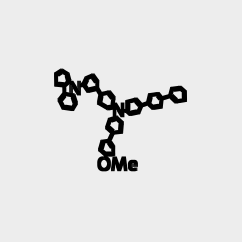 COc1ccc(-c2ccc(N(c3ccc(-c4ccc(-c5ccccc5)cc4)cc3)c3ccc(-c4cccc(-n5c6ccccc6c6ccccc65)c4)cc3)cc2)cc1